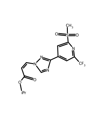 CC(C)OC(=O)/C=C\n1cnc(-c2cc(C(F)(F)F)nc(S(C)(=O)=O)c2)n1